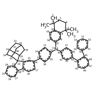 CC1(C)CCC(C)(C)c2cc(N(c3ccc(-c4ccc5c(c4)C4(c6ccccc6-5)C5CC6CC7CC4C75C6)cc3)c3ccc(-c4ccccc4-c4ccccc4)cc3)ccc21